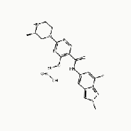 CCOc1nc(N2CCN[C@H](C)C2)ncc1C(=O)Nc1cc(F)c2nn(C)cc2c1.O=CO